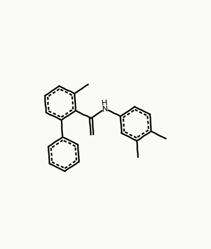 C=C(Nc1ccc(C)c(C)c1)c1c(C)cccc1-c1ccccc1